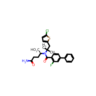 CC(C)(Cc1ccc(Cl)s1)N(C(=O)c1ccc(-c2ccccc2)cc1F)[C@@H](CCC(N)=O)C(=O)O